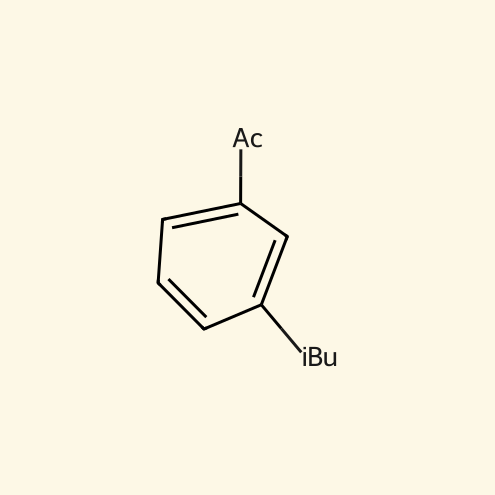 CCC(C)c1cccc(C(C)=O)c1